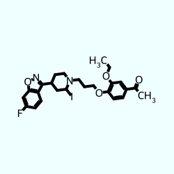 CCOc1cc(C(C)=O)ccc1OCCCN1CCC(c2noc3cc(F)ccc23)CC1I